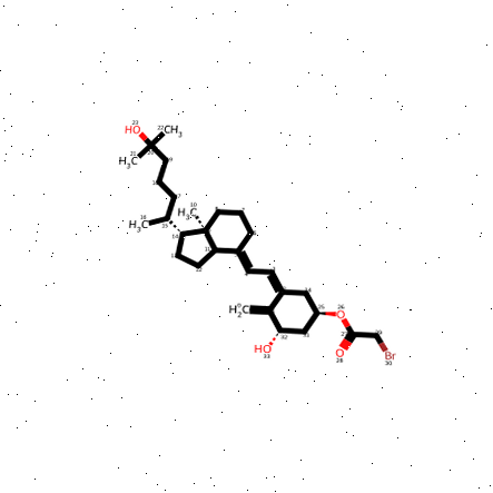 C=C1/C(=C\C=C2/CCC[C@@]3(C)C2CC[C@@H]3C(C)CCCC(C)(C)O)C[C@@H](OC(=O)CBr)C[C@@H]1O